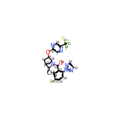 CC1C2CC(Oc3cnc(C(F)(F)F)cn3)C(C2)N1C(=O)c1cc(F)ccc1-n1nccn1